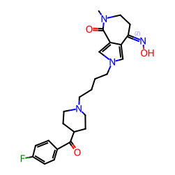 CN1CC/C(=N/O)c2cn(CCCCN3CCC(C(=O)c4ccc(F)cc4)CC3)cc2C1=O